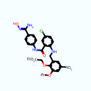 CCOC(=O)COc1c(CNc2ccc(Cl)cc2C(=O)Nc2ccc(/C(N)=N/O)cc2)cc([N+](=O)[O-])cc1OC(C)C